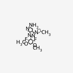 COc1cc(OC)c(F)c(-c2nc(N3CCC(C)C3)c3cc(N)ncc3n2)c1F